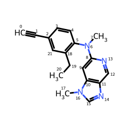 C#Cc1ccc(N(C)c2cc3c(cn2)ncn3C)c(CC)c1